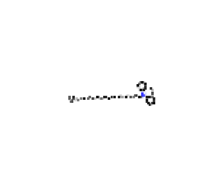 CCCCCCCCCCCCCCCCCCN1c2ccccc2CCc2ccccc21